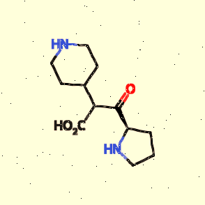 O=C(O)C(C(=O)[C@H]1CCCN1)C1CCNCC1